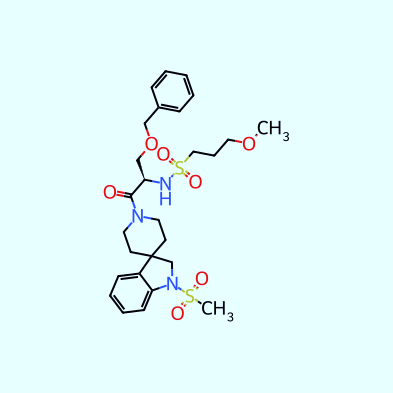 COCCCS(=O)(=O)N[C@H](COCc1ccccc1)C(=O)N1CCC2(CC1)CN(S(C)(=O)=O)c1ccccc12